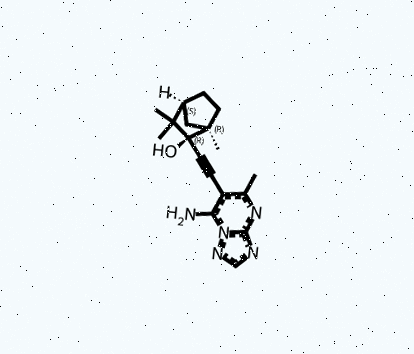 Cc1nc2ncnn2c(N)c1C#C[C@]1(O)C(C)(C)[C@H]2CC[C@]1(C)C2